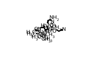 CC(=O)[N+]1([C@@H]2O[C@@H]3CO[Si](C(C)C)(C(C)C)O[Si](C(C)C)(C(C)C)O[C@H]3[C@H]2OCOCCC#N)C=CC(N)=NC1=O